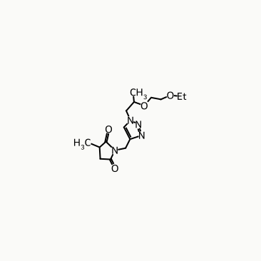 CCOCCOC(C)Cn1cc(CN2C(=O)CC(C)C2=O)nn1